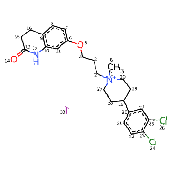 C[N+]1(CCCOc2ccc3c(c2)NC(=O)CC3)CCC(c2ccc(Cl)c(Cl)c2)CC1.[I-]